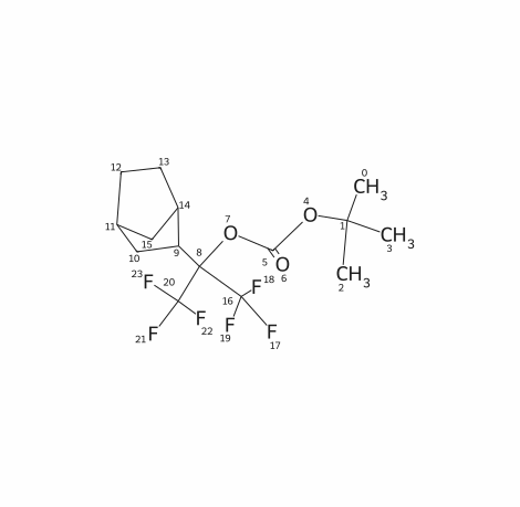 CC(C)(C)OC(=O)OC(C1CC2CCC1C2)(C(F)(F)F)C(F)(F)F